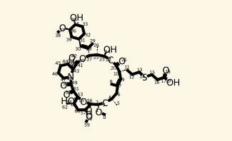 CO[C@H]1C[C@@H](C)C/C(C)=C/[C@@H](CCCSCCC(=O)O)C(=O)C[C@H](O)[C@@H](C)[C@@H](/C(C)=C/[C@@H]2CC[C@@H](O)[C@H](OC)C2)OC(=O)[C@@H]2CCCCN2C(=O)C(=O)[C@]2(O)O[C@H]1[C@@H](OC)C[C@H]2C